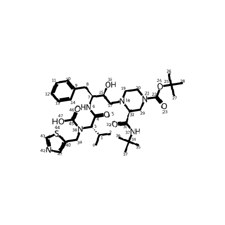 CC(C)[C@@H](C(=O)N[C@@H](Cc1ccccc1)[C@@H](O)CN1CCN(C(=O)OC(C)(C)C)C[C@H]1C(=O)NC(C)(C)C)N(Cc1cncs1)C(=O)O